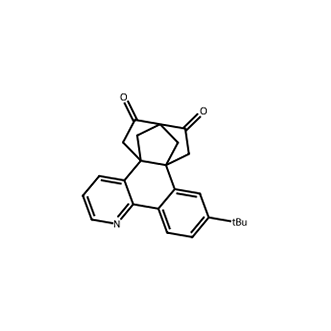 CC(C)(C)c1ccc2c(c1)C13CC(=O)C4(C1)CC3(CC4=O)c1cccnc1-2